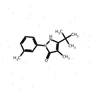 Cc1cccc(-n2[nH]c(C(C)(C)C)c(C)c2=O)c1